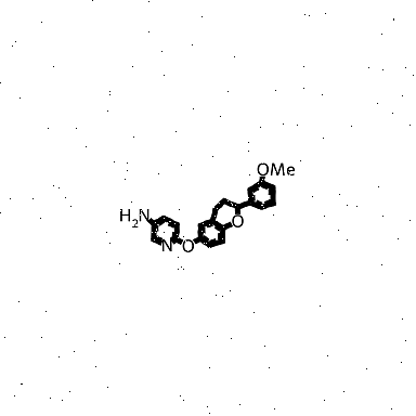 COc1cccc(C2CCc3cc(Oc4ccc(N)cn4)ccc3O2)c1